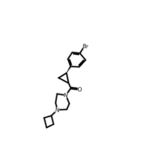 O=C(C1C[C@H]1c1ccc(Br)cc1)N1CCN(C2CCC2)CC1